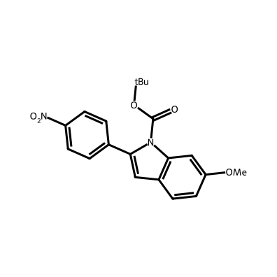 COc1ccc2cc(-c3ccc([N+](=O)[O-])cc3)n(C(=O)OC(C)(C)C)c2c1